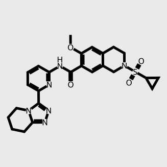 COc1cc2c(cc1C(=O)Nc1cccc(-c3nnc4n3CCCC4)n1)CN(S(=O)(=O)C1CC1)CC2